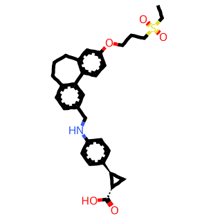 CCS(=O)(=O)CCCOc1ccc2c(c1)CCCc1ccc(CNc3ccc([C@H]4C[C@@H]4C(=O)O)cc3)cc1-2